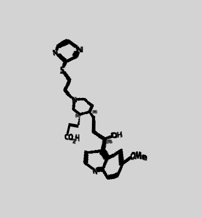 COc1ccc2nccc([C@H](O)CC[C@@H]3CCN(CCSc4cnccn4)C[C@H]3CCC(=O)O)c2c1